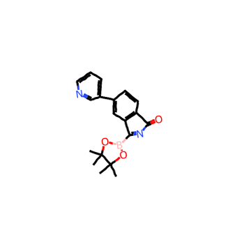 CC1(C)OB(C2=NC(=O)c3ccc(-c4cccnc4)cc32)OC1(C)C